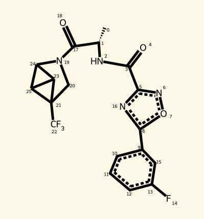 C[C@H](NC(=O)c1noc(-c2cccc(F)c2)n1)C(=O)N1CC2(C(F)(F)F)C3C1C32